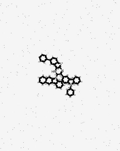 c1ccc(-c2ccc3sc4c(c3c2)NC(n2c3ccccc3c3cc5ccccc5cc32)C(c2ccc3c(c2)c2ccccc2n3-c2ccccc2)=N4)cc1